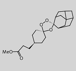 COC(=O)CC[C@H]1CC[C@]2(CC1)OO[C@]1(O2)C2CC3CC4CC1CC34C2